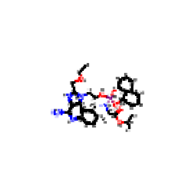 CCOCc1nc2c(N)nc3ccccc3c2n1C[C@@H](C)O[P@](=O)(N[C@@H](C)C(=O)OC(C)C)Oc1cccc2ccccc12